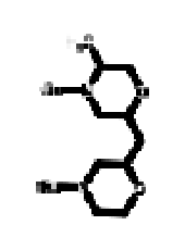 CC1COC(CC2CN(C(C)(C)C)CCO2)CN1C(C)(C)C